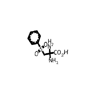 NC(N)(CS(=O)(=O)c1ccccc1)C(=O)O